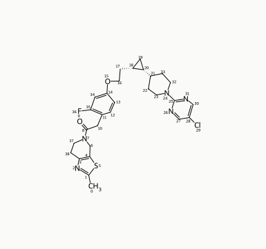 Cc1nc2c(s1)CN(C(=O)Cc1ccc(OCC[C@@H]3C[C@@H]3C3CCN(c4ncc(Cl)cn4)CC3)cc1F)CC2